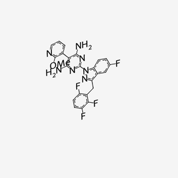 COc1ncccc1-c1c(N)nc(-n2nc(Cc3c(F)ccc(F)c3F)c3cc(F)ccc32)nc1N